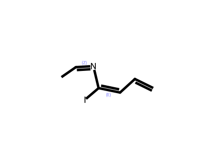 C=C/C=C(I)\N=C/C